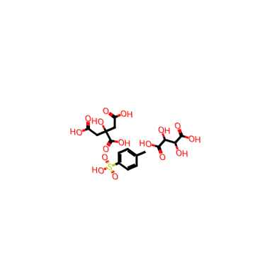 Cc1ccc(S(=O)(=O)O)cc1.O=C(O)C(O)C(O)C(=O)O.O=C(O)CC(O)(CC(=O)O)C(=O)O